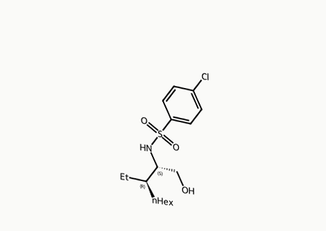 CCCCCC[C@@H](CC)[C@@H](CO)NS(=O)(=O)c1ccc(Cl)cc1